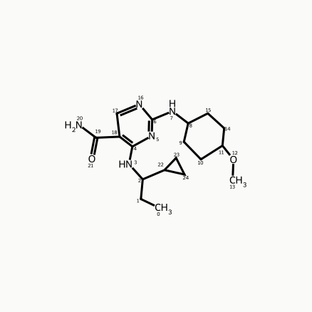 CCC(Nc1nc(NC2CCC(OC)CC2)ncc1C(N)=O)C1CC1